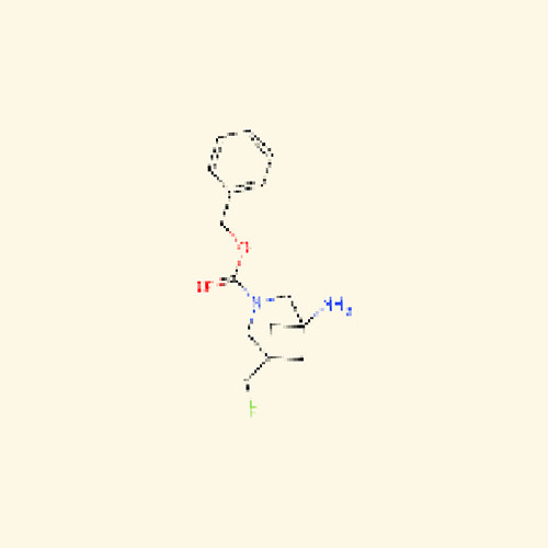 NC12CN(C(=O)OCc3ccccc3)CC(CF)(C1)C2